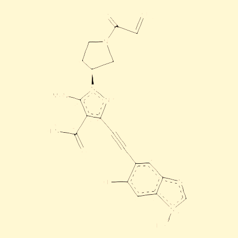 C=CC(=O)N1CC[C@H](n2nc(C#Cc3cc4ncn(C)c4cc3F)c(C(N)=O)c2NC)C1